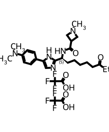 CCC(=O)CCCCC[C@H](NC(=O)C1CN(C)C1)c1ncc(-c2ccc(N(C)C)cc2)[nH]1.O=C(O)C(F)(F)F.O=C(O)C(F)(F)F